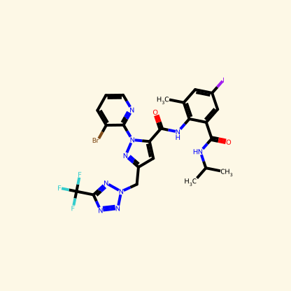 Cc1cc(I)cc(C(=O)NC(C)C)c1NC(=O)c1cc(Cn2nnc(C(F)(F)F)n2)nn1-c1ncccc1Br